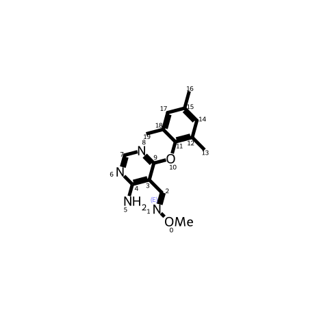 CO/N=C/c1c(N)ncnc1Oc1c(C)cc(C)cc1C